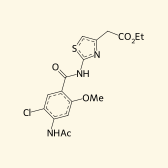 CCOC(=O)Cc1csc(NC(=O)c2cc(Cl)c(NC(C)=O)cc2OC)n1